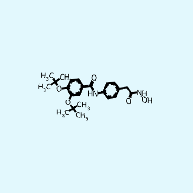 CC(C)(C)Oc1ccc(C(=O)Nc2ccc(CC(=O)NO)cc2)cc1OC(C)(C)C